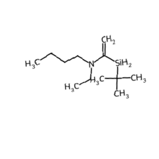 C=C([SiH2]C(C)(C)C)N(CC)CCCC